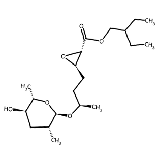 CCC(CC)COC(=O)[C@H]1O[C@@H]1CC[C@@H](C)O[C@@H]1O[C@@H](C)[C@H](O)C[C@H]1C